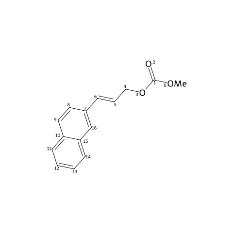 COC(=O)OCC=Cc1ccc2ccccc2c1